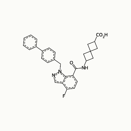 O=C(NC1CC2(C1)CC(C(=O)O)C2)c1ccc(F)c2cnn(Cc3ccc(-c4ccccc4)cc3)c12